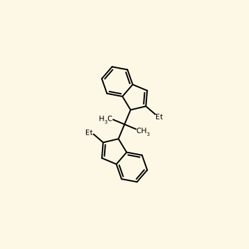 CCC1=Cc2ccccc2C1C(C)(C)C1C(CC)=Cc2ccccc21